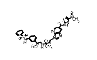 C=[N+]([O-])c1cnc(NC(=O)c2cnc3c(c2)ncn3CCC(C)(C)NC[C@H](O)c2cccc(NS(=O)(=O)c3ccccc3)c2)s1